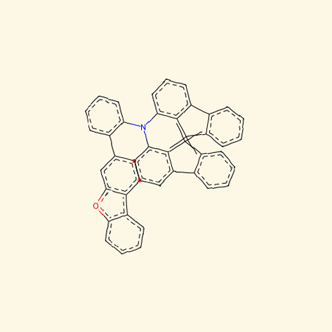 CC1(C)c2ccccc2-c2cccc(N(c3ccccc3-c3ccc4c(c3)oc3ccccc34)c3cccc4c3C(C)(C)c3ccccc3-4)c21